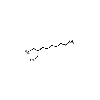 CCCCCCCC(CC)SO